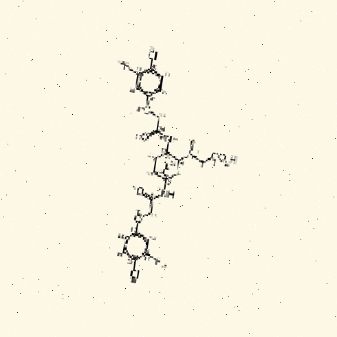 CN(CC(=O)O)C1CC2(NC(=O)COc3ccc(Cl)c(F)c3)CCC1(NC(=O)COc1ccc(Cl)c(F)c1)CC2